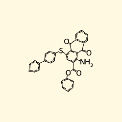 Nc1c(C(=O)Oc2ccccc2)cc(Sc2ccc(-c3ccccc3)cc2)c2c1C(=O)c1ccccc1C2=O